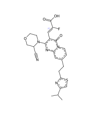 CC(C)c1csc(CCc2ccn3c(=O)c(/C=C(\F)C(=O)O)c(N4CCOCC4C#N)nc3c2)n1